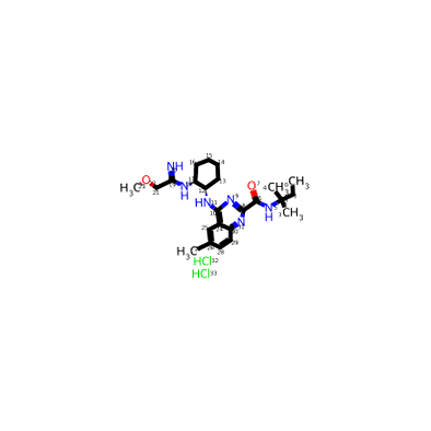 CCC(C)(C)NC(=O)c1nc(N[C@H]2CCCC[C@H]2NC(=N)COC)c2cc(C)ccc2n1.Cl.Cl